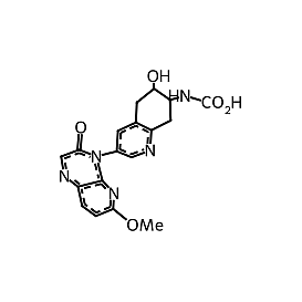 COc1ccc2ncc(=O)n(-c3cnc4c(c3)CC(O)C(NC(=O)O)C4)c2n1